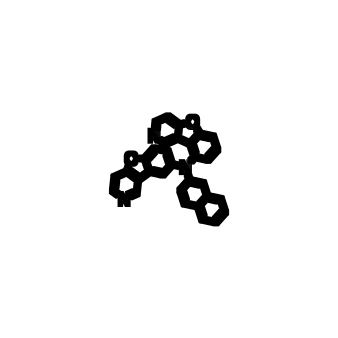 c1ccc2cc(N(c3ccc4oc5ccncc5c4c3)c3cccc4oc5ccncc5c34)ccc2c1